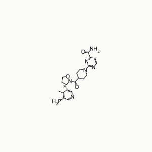 Cc1c(P)cncc1[C@@H]1CCON1C(=O)C1CCN(c2nccc(C(N)=O)n2)CC1